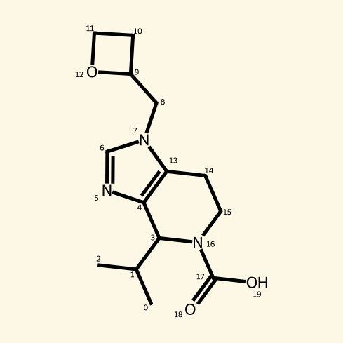 CC(C)C1c2ncn(CC3CCO3)c2CCN1C(=O)O